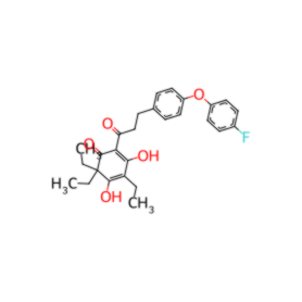 CCC1=C(O)C(CC)(CC)C(=O)C(C(=O)CCc2ccc(Oc3ccc(F)cc3)cc2)=C1O